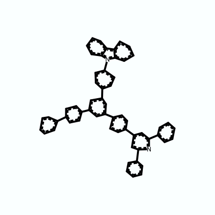 c1ccc(-c2ccc(-c3cc(-c4ccc(-c5cc(-c6ccccc6)nc(-c6ccccc6)c5)cc4)cc(-c4ccc(-n5c6ccccc6c6ccccc65)cc4)c3)cc2)cc1